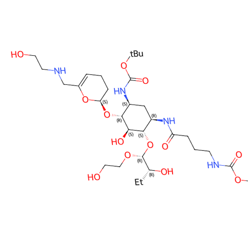 CC[C@@H](O)[C@H](OCCO)O[C@@H]1[C@@H](O)[C@H](O[C@@H]2CCC=C(CNCCO)O2)[C@@H](NC(=O)OC(C)(C)C)C[C@H]1NC(=O)CCCNC(=O)OC(C)(C)C